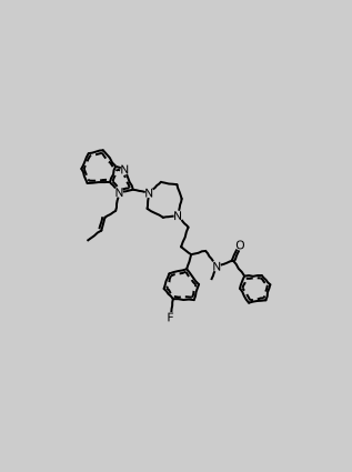 C/C=C/Cn1c(N2CCCN(CCC(CN(C)C(=O)c3ccccc3)c3ccc(F)cc3)CC2)nc2ccccc21